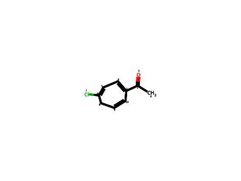 CC(=O)C1=CC=C(Cl)CC=C1